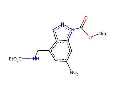 CCOC(=O)NCc1cc([N+](=O)[O-])cc2c1cnn2C(=O)OC(C)(C)C